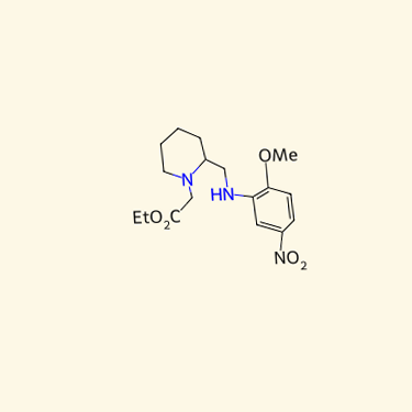 CCOC(=O)CN1CCCCC1CNc1cc([N+](=O)[O-])ccc1OC